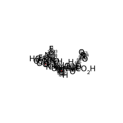 CC[C@@]1(O)C(=O)OCc2c1cc1n(c2=O)Cc2c-1nc1cc(F)c(C)c3c1c2[C@@H](N(CCC(N)=O)C(=O)CNC(=O)[C@H](Cc1ccccc1)NC(=O)CNC(=O)CNC(=O)[C@H](CC(=O)O)NC(=O)CCCCCN1C(=O)C=CC1=O)CC3